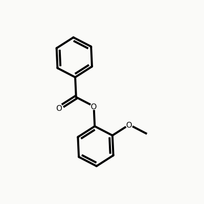 COc1ccccc1OC(=O)c1ccccc1